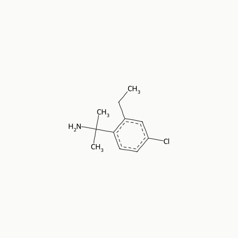 CCc1cc(Cl)ccc1C(C)(C)N